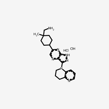 CC1(CN)CCC(c2cnc3c(N4CCCc5ncccc54)n[nH]c3n2)CC1.Cl.Cl